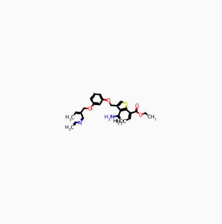 C=C/N=C\C(=C/C)COc1cccc(OCc2csc(/C(=C\C)C(=O)OCC)c2C(=C)N)c1